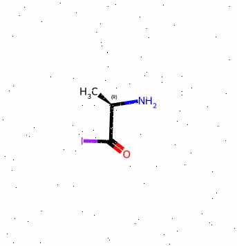 C[C@@H](N)C(=O)I